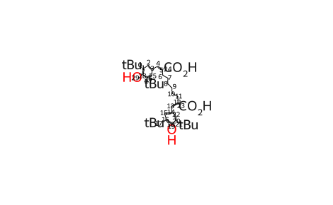 CC(C)(C)c1cc(C=C(CCCCCCC(=Cc2cc(C(C)(C)C)c(O)c(C(C)(C)C)c2)C(=O)O)C(=O)O)cc(C(C)(C)C)c1O